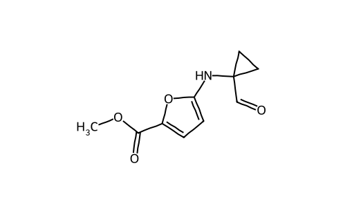 COC(=O)c1ccc(NC2(C=O)CC2)o1